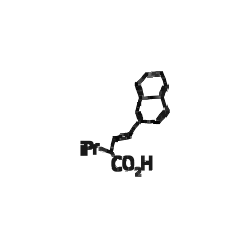 CC(C)C(C=Cc1ccc2ccccc2c1)C(=O)O